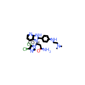 CN(C)CCNc1ccc(C2Nc3nccc(C(=O)O)c3N2C(CC(N)=O)n2cnc(Cl)c2Cl)cc1